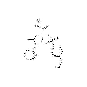 CCCCOc1ccc(S(=O)(=O)CC(O)(CC(C)Sc2ccccn2)C(=O)NO)cc1